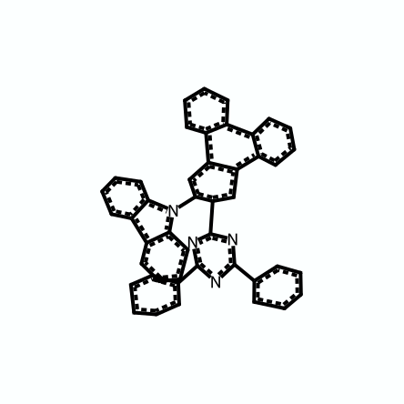 c1ccc(-c2nc(-c3ccccc3)nc(-c3cc4c5ccccc5c5ccccc5c4cc3-n3c4ccccc4c4ccccc43)n2)cc1